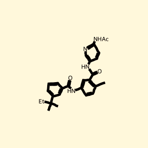 CCC(C)(C)c1cccc(C(=O)Nc2ccc(C)c(C(=O)Nc3ccc(NC(C)=O)nc3)c2)c1